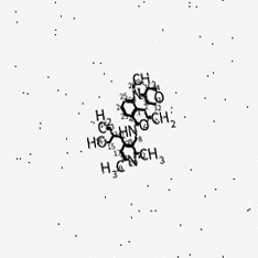 C=CCc1c(C(=O)NCc2c(CC(C=C)CO)cc(C)nc2C)cccc1N(CC)C1CCOCC1